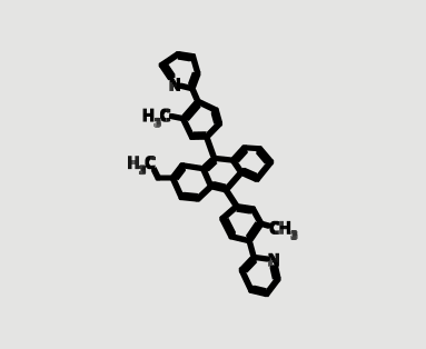 CCc1ccc2c(-c3ccc(-c4ccccn4)c(C)c3)c3ccccc3c(-c3ccc(-c4ccccn4)c(C)c3)c2c1